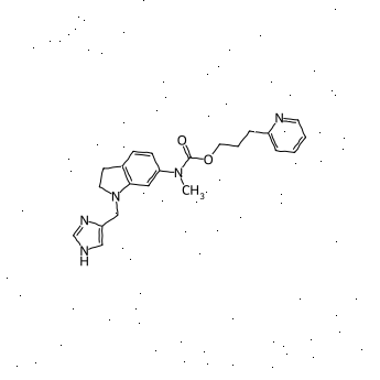 CN(C(=O)OCCCc1ccccn1)c1ccc2c(c1)N(Cc1c[nH]cn1)CC2